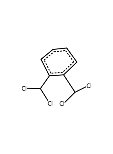 ClC(Cl)c1ccccc1C(Cl)Cl